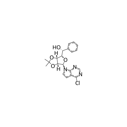 CC1(C)O[C@H]2[C@@H](O1)[C@H](n1ccc3c(Cl)ncnc31)O[C@@H]2[C@H](O)c1ccccc1